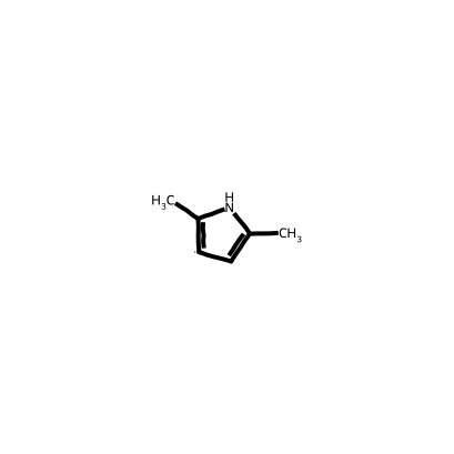 Cc1[c]cc(C)[nH]1